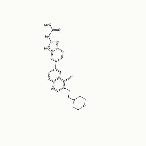 COC(=O)Nc1nc2ccc(-c3ccc4ncn(CCN5CCOCC5)c(=O)c4c3)cc2[nH]1